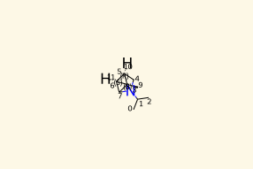 CC(C)N1C[C@@H]2[C@@H]3C1[C@@]23C